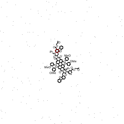 COc1cccc(Oc2cc3c4c(cc(Oc5cccc(OC)c5)c5c6c(Oc7cccc(OC)c7)cc7c8c(cc(Oc9cccc(OC)c9)c(c2c45)c86)C(=O)N(C(Cc2cccc4c2oc2ccccc24)C(=O)N(CC(C)C)c2cncc(C(=O)OCC4CO4)c2)C7=O)C(=O)N(C(Cc2cccc4c2oc2ccccc24)C(=O)N(CC(C)C)c2cncc(C(=O)OCC4CO4)c2)C3=O)c1